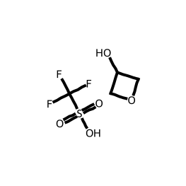 O=S(=O)(O)C(F)(F)F.OC1COC1